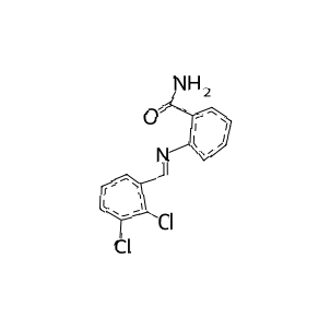 NC(=O)c1ccccc1/N=C/c1cccc(Cl)c1Cl